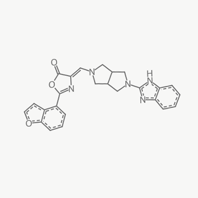 O=C1OC(c2cccc3occc23)=NC1=CN1CC2CN(c3nc4ccccc4[nH]3)CC2C1